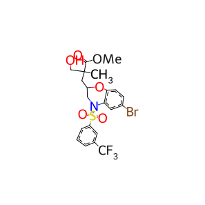 COC(=O)C(C)(CO)CC1CN(S(=O)(=O)c2cccc(C(F)(F)F)c2)c2cc(Br)ccc2O1